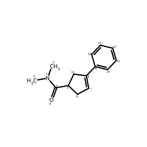 CN(C)C(=O)C1CC=C(c2ccccc2)C1